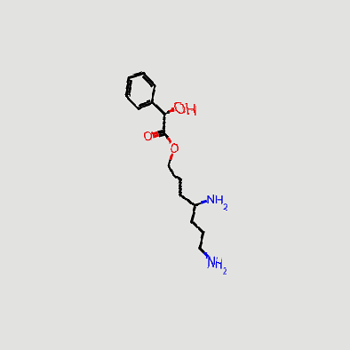 NCCCC(N)CCCOC(=O)[C@H](O)c1ccccc1